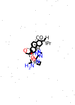 CC(C)[C@@H](C)[C@@]1(C)CC[C@]2(C)[C@H]3CC[C@@H]4[C@@]5(COC[C@@]4(C)[C@@H](OC[C@](C)(N)C(C)C)[C@H](n4ncnc4C(=O)N4CCC4)C5)C3=CC[C@@]2(C)[C@@H]1C(=O)O